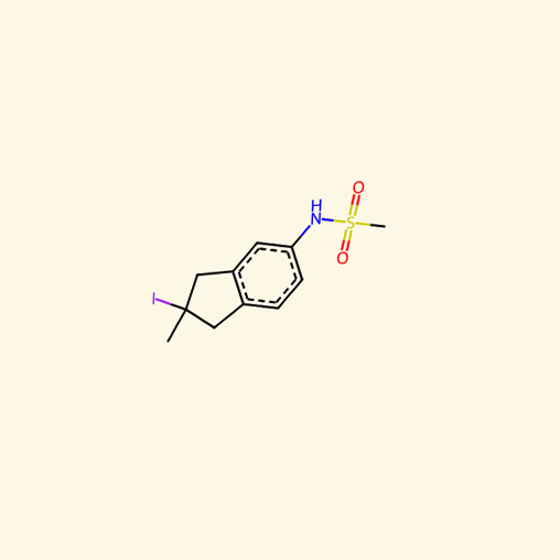 CC1(I)Cc2ccc(NS(C)(=O)=O)cc2C1